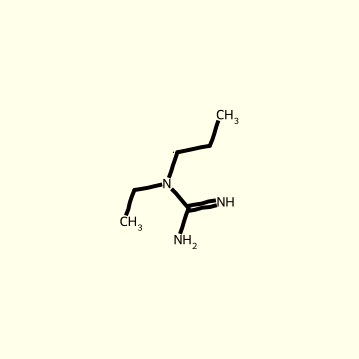 CC[CH]N(CC)C(=N)N